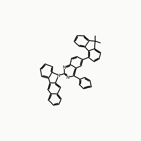 CC1(C)c2ccccc2-c2c(-c3ccc4nc(-n5c6ccccc6c6cc7ccccc7cc65)nc(-c5ccccc5)c4c3)cccc21